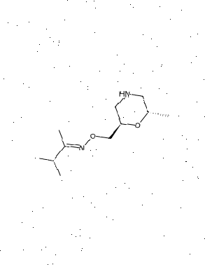 C/C(=N\OC[C@H]1CNC[C@H](C)O1)C(C)C